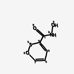 O=C(NO)C1=CC=COS1